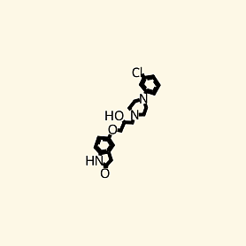 O=C1Cc2cc(OCC(O)CN3CCN(c4cccc(Cl)c4)CC3)ccc2N1